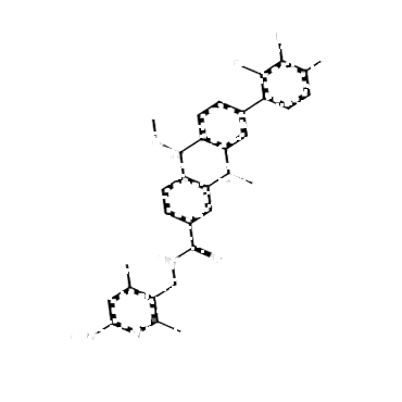 CO[C@@H]1c2ccc(C(=O)NCc3c(C)cc(N)nc3C)cc2[C@H](C)c2cc(-c3ccc(Cl)c(F)c3F)ccc21